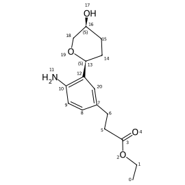 CCOC(=O)CCc1ccc(N)c([C@@H]2CC[C@H](O)CO2)c1